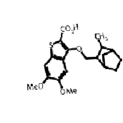 COc1cc2sc(C(=O)O)c(OCC3C4CCC(C4)C3C)c2cc1OC